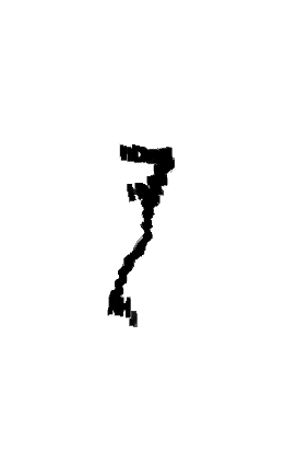 CCCCCCCCCCCCCCCNCCCCCCCCCCCCCCCCN